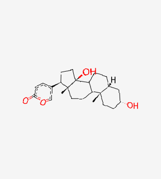 C[C@]12CC[C@@H](O)C[C@H]1CCC1C2CC[C@]2(C)[C@@H](c3ccc(=O)oc3)CC[C@]12O